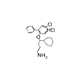 Cl.NCCCC(Oc1ccc(Cl)cc1-c1ccccc1)C1CCCCC1